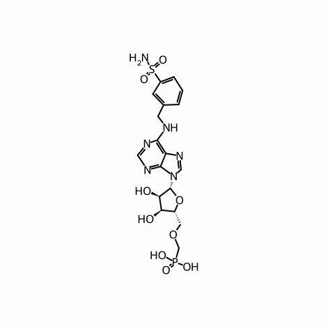 NS(=O)(=O)c1cccc(CNc2ncnc3c2ncn3[C@@H]2O[C@H](COCP(=O)(O)O)[C@@H](O)[C@H]2O)c1